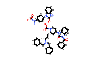 O=C(O)N1CCC(n2c(=O)n(C(=O)c3ccccc3)c3ccccc32)C[C@@H]1CCCN(Cc1ccccc1)Cc1ccccc1.O=C(O)Nc1ccc(-n2c(=O)[nH]c3ccccc32)cc1